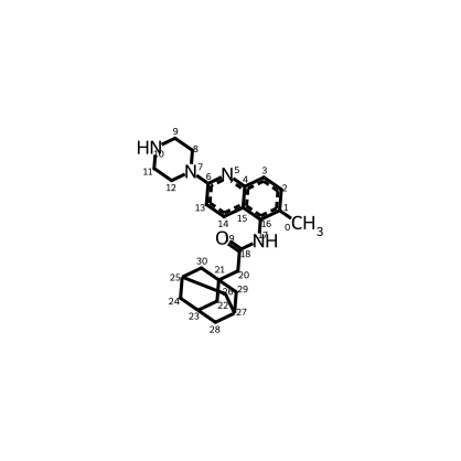 Cc1ccc2nc(N3CCNCC3)ccc2c1NC(=O)CC12CC3CC(CC(C3)C1)C2